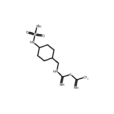 CC(C)(C)S(=O)(=O)NC1CCC(CNC(=N)SC(=N)C(F)(F)F)CC1